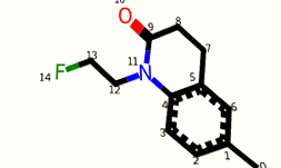 Cc1ccc2c(c1)CCC(=O)N2CCF